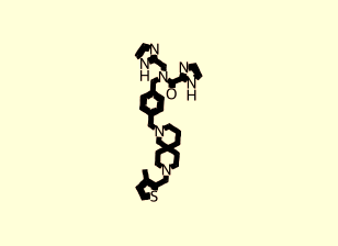 Cc1ccsc1CN1CCC2(CCCN(Cc3ccc(CN(Cc4ncc[nH]4)C(=O)c4ncc[nH]4)cc3)C2)CC1